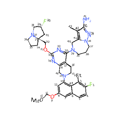 CCc1c(F)ccc2cc(OCOC)cc(N3CCc4c(nc(OC[C@@]56CCCN5C[C@H](F)C6)nc4N4CCCn5nc(N)c(C)c5C4)C3)c12